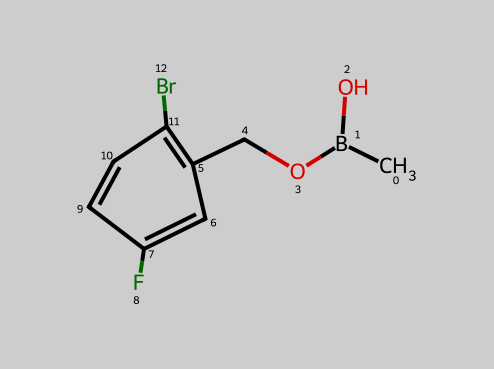 CB(O)OCc1cc(F)ccc1Br